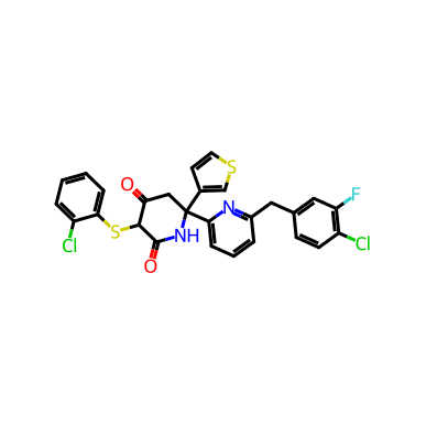 O=C1CC(c2ccsc2)(c2cccc(Cc3ccc(Cl)c(F)c3)n2)NC(=O)C1Sc1ccccc1Cl